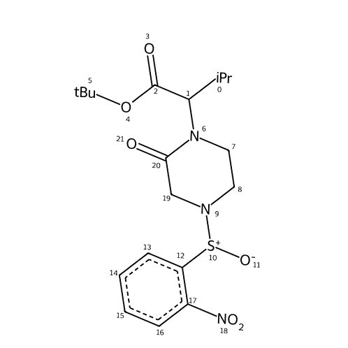 CC(C)C(C(=O)OC(C)(C)C)N1CCN([S+]([O-])c2ccccc2[N+](=O)[O-])CC1=O